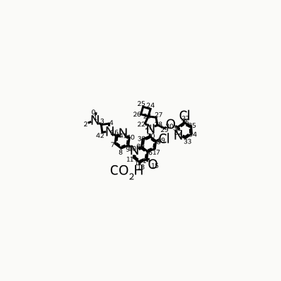 CN(C)C1CN(c2ccc(-n3cc(C(=O)O)c(=O)c4cc(Cl)c(N5CC6(CCC6)CC5COc5ncccc5Cl)cc43)cn2)C1